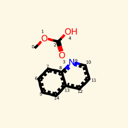 COC(=O)O.c1ccc2ncccc2c1